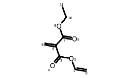 C=COC(=O)C(=C)C(=O)OCC